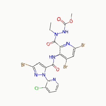 CCN(NC(=O)OC)C(=O)c1nc(Br)cc(Br)c1NC(=O)c1cc(Br)nn1-c1ncccc1Cl